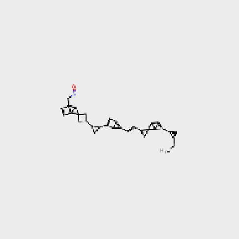 CCC1=C=C1C1=C2C3C12C31CC1/C=C/C1=C2C=C(C3CC3C3CC4(C3)C3C5(CN=O)C=CC354)C21